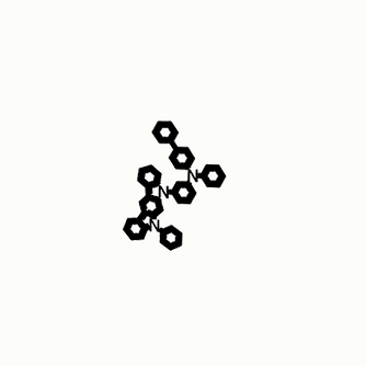 c1ccc(-c2ccc(N(c3ccccc3)c3cccc(-n4c5ccccc5c5cc6c7ccccc7n(-c7ccccc7)c6cc54)c3)cc2)cc1